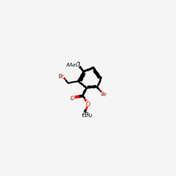 COc1ccc(Br)c(C(=O)OC(C)(C)C)c1CBr